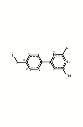 Cc1nc(C#N)cc(-c2ccc(CF)nc2)n1